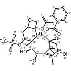 C=C(C)O[C@@]12COC1C[C@H](OS(=O)(=O)C(F)(F)F)[C@@]1(C)[C@H](O)[C@H](O)C3=C(C)[C@@H](O)C[C@@](O)([C@@H](OC(=O)c4ccccc4)[C@@H]12)C3(C)C